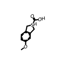 COc1ccc2c(c1)C[SH](C(=O)O)C2